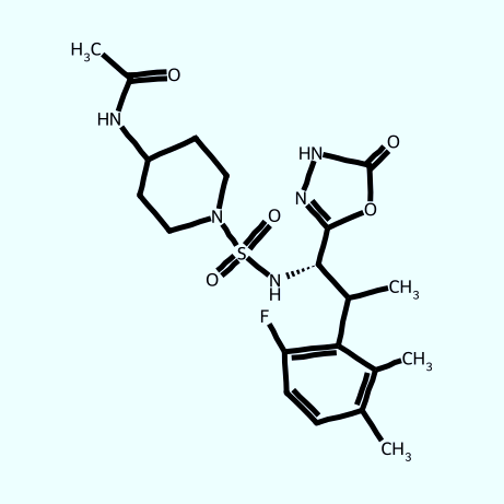 CC(=O)NC1CCN(S(=O)(=O)N[C@H](c2n[nH]c(=O)o2)C(C)c2c(F)ccc(C)c2C)CC1